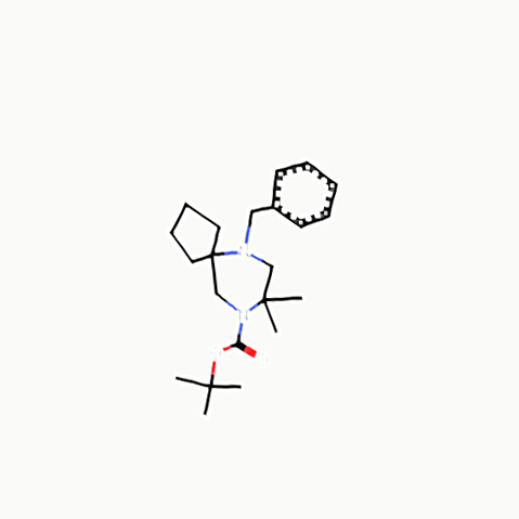 CC(C)(C)OC(=O)N1CC2(CCCC2)N(Cc2ccccc2)CC1(C)C